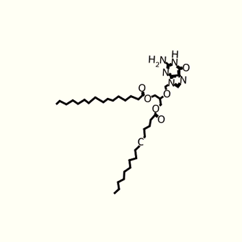 CCCCCCCCCCCCCCCC(=O)OCC(COC(=O)CCCCCCCCCCCCCCC)OCn1cnc2c(=O)[nH]c(N)nc21